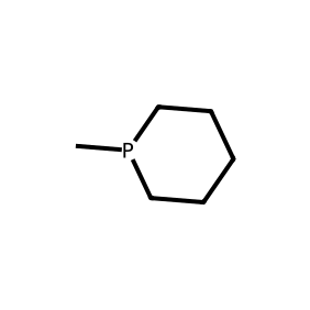 CP1CCCCC1